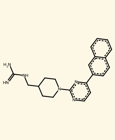 N=C(N)NCC1CCN(c2nccc(-c3ccc4ccccc4c3)n2)CC1